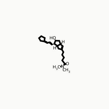 CN(C)C(=O)CCCCC1=C[C@H]2C[C@@H](O)[C@H](/C=C/C=C3CCCC3)[C@H]2C1